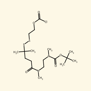 CN(CCN(C)C(=O)OC(C)(C)C)C(=O)CCC(C)(C)SSCCOC(=O)Cl